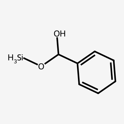 OC(O[SiH3])c1ccccc1